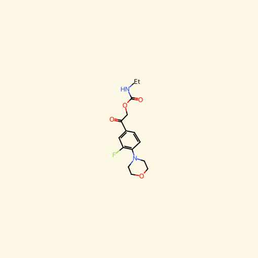 CCNC(=O)OCC(=O)c1ccc(N2CCOCC2)c(F)c1